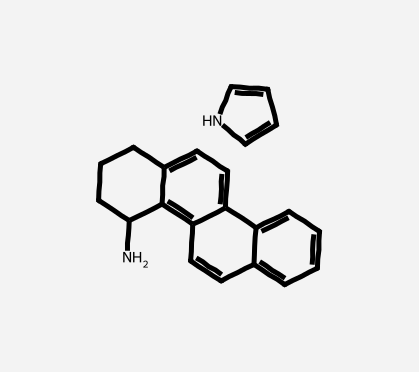 NC1CCCc2ccc3c(ccc4ccccc43)c21.c1cc[nH]c1